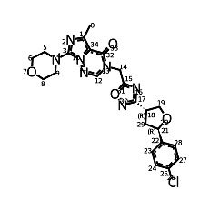 Cc1nc(N2CCOCC2)n2ncn(Cc3nc([C@@H]4CO[C@@H](c5ccc(Cl)cc5)C4)no3)c(=O)c12